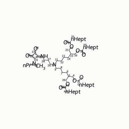 CCCCCCCC(=O)OCC(CCCCN(CCCCC(COC(=O)CCCCCCC)COC(=O)CCCCCCC)CCCNc1c(N(C)CCC)c(=O)c1=O)COC(=O)CCCCCCC